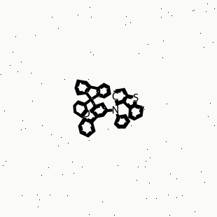 C1=CC(C2(c3cc(N(c4ccccc4)c4cccc5sc6ccccc6c45)cc4c3oc3ccccc34)c3ccccc3-c3ccccc32)=CCC1